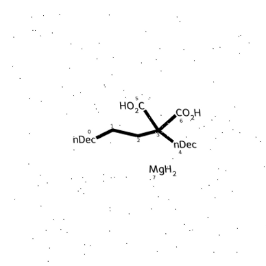 CCCCCCCCCCCCC(CCCCCCCCCC)(C(=O)O)C(=O)O.[MgH2]